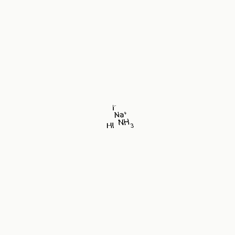 I.N.[I-].[Na+]